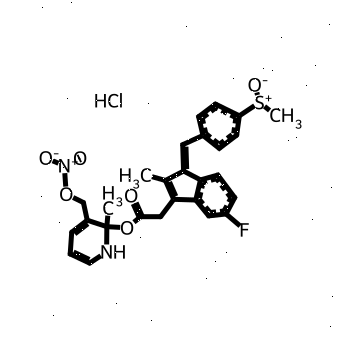 CC1=C(CC(=O)OC2(C)NC=CC=C2CO[N+](=O)[O-])c2cc(F)ccc2/C1=C\c1ccc([S+](C)[O-])cc1.Cl